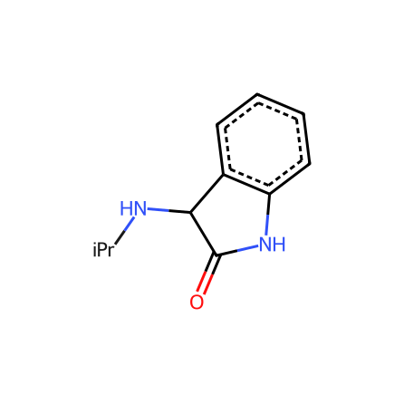 CC(C)NC1C(=O)Nc2ccccc21